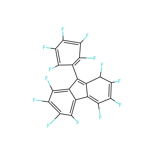 F[C]1C(F)=C(F)C(F)=C2C1=C(c1c(F)c(F)c(F)c(F)c1F)c1c(F)c(F)c(F)c(F)c12